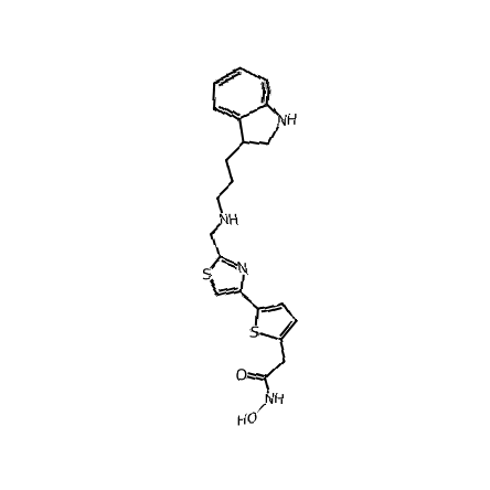 O=C(Cc1ccc(-c2csc(CNCCCC3CNc4ccccc43)n2)s1)NO